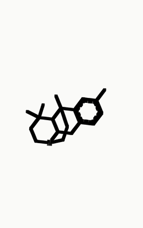 Cc1ccc2c(c1)C1(C)CCN3CCC(C)(C)C1C3C2